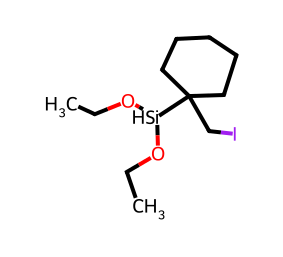 CCO[SiH](OCC)C1(CI)CCCCC1